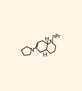 CCCN1CCC[C@H]2CC(N3CCCC3)=CC[C@@H]21